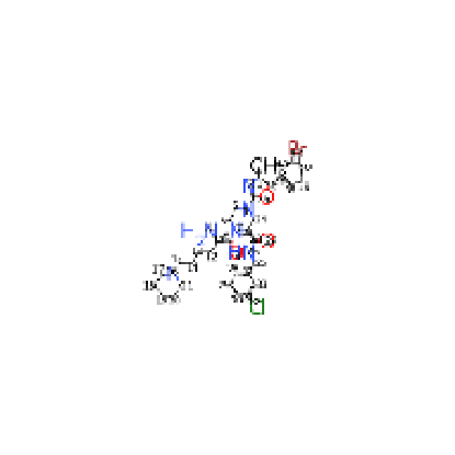 C[C@@H]1N=C(N2CCN(C(=O)[C@H](N)CCCCN3CCCCC3)[C@H](C(=O)NCc3cccc(Cl)c3)C2)O[C@H]1c1cccc(Br)c1